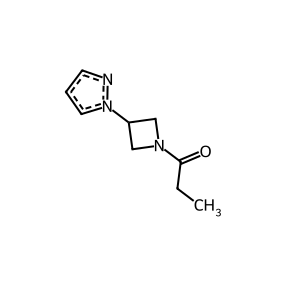 CCC(=O)N1CC(n2cccn2)C1